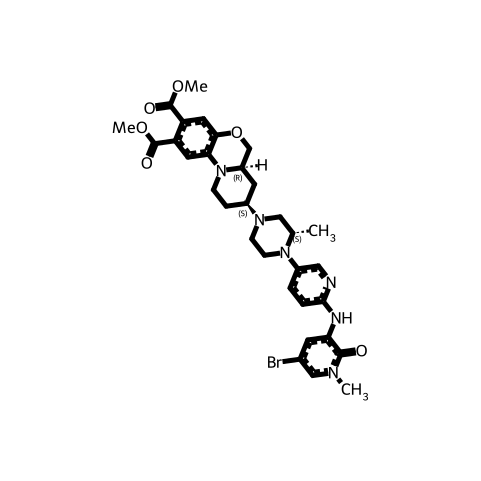 COC(=O)c1cc2c(cc1C(=O)OC)N1CC[C@H](N3CCN(c4ccc(Nc5cc(Br)cn(C)c5=O)nc4)[C@@H](C)C3)C[C@@H]1CO2